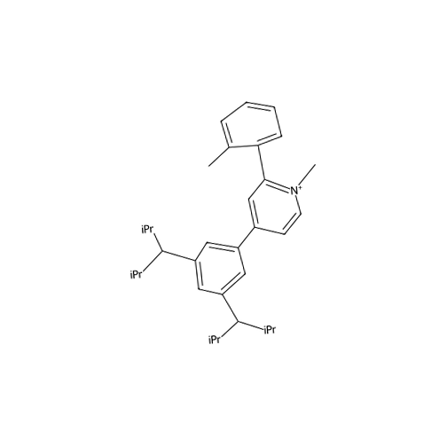 Cc1ccccc1-c1cc(-c2cc(C(C(C)C)C(C)C)cc(C(C(C)C)C(C)C)c2)cc[n+]1C